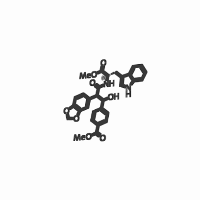 COC(=O)c1ccc(C(O)C(C(=O)N[C@@H](Cc2c[nH]c3ccccc23)C(=O)OC)c2ccc3c(c2)OCO3)cc1